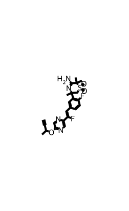 C#CC(C)Oc1cnc(/C(F)=C/c2ccc(F)c(C3(C)CS(=O)(=O)C(C)(C)C(N)=N3)c2)cn1